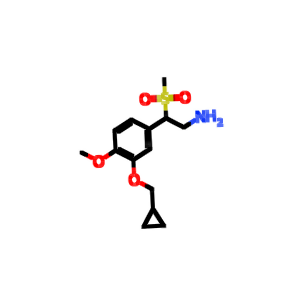 COc1ccc(C(CN)S(C)(=O)=O)cc1OCC1CC1